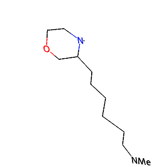 CNCCCCCCC1COCC[N]1